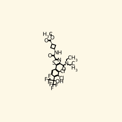 CCN(CC)C(=O)c1nc(C(=O)N[C@H]2C[C@H](C(=O)OC)C2)sc1-c1ccc(C(O)(C(F)(F)F)C(F)(F)F)c(Cl)c1Cl